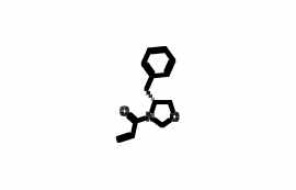 C=CC(=O)N1COC[C@H]1Cc1ccccc1